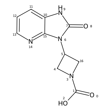 O=C(O)N1CC(n2c(=O)[nH]c3cccnc32)C1